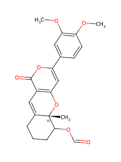 COc1ccc(-c2cc3c(c(=O)o2)C=C2CCCC(OC=O)[C@@]2(C)O3)cc1OC